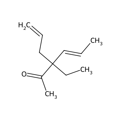 C=CCC(C=CC)(CC)C(C)=O